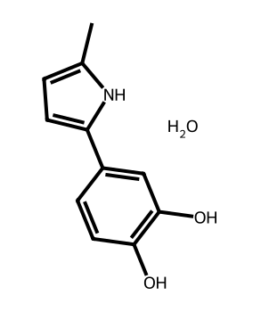 Cc1ccc(-c2ccc(O)c(O)c2)[nH]1.O